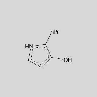 CCCc1[nH]ccc1O